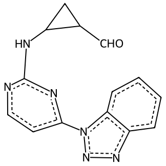 O=CC1CC1Nc1nccc(-n2nnc3ccccc32)n1